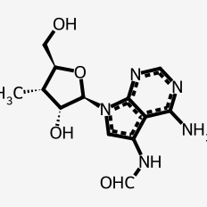 C[C@H]1[C@@H](O)[C@H](n2cc(NC=O)c3c(N)ncnc32)O[C@@H]1CO